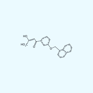 O=C(O)/C(O)=C\C(=O)c1cccc(OCc2cccc3ccccc23)c1